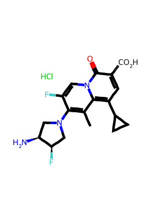 Cc1c(N2C[C@@H](F)[C@@H](N)C2)c(F)cn2c(=O)c(C(=O)O)cc(C3CC3)c12.Cl